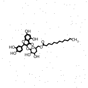 CCCCCCCCCCCC(=O)OCC1CC(O)C(O)C(Oc2c(-c3ccc(O)c(O)c3)oc3cc(O)cc(O)c3c2=O)O1